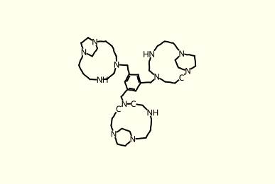 c1c(CN2CCCN3CCN(CCCNCC2)CC3)cc(CN2CCCN3CCN(CCCNCC2)CC3)cc1CN1CCCN2CCN(CCCNCC1)CC2